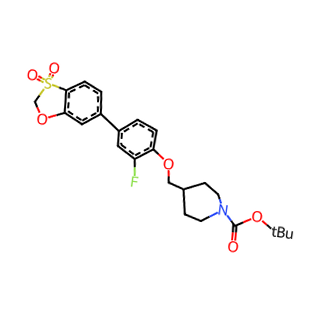 CC(C)(C)OC(=O)N1CCC(COc2ccc(-c3ccc4c(c3)OCS4(=O)=O)cc2F)CC1